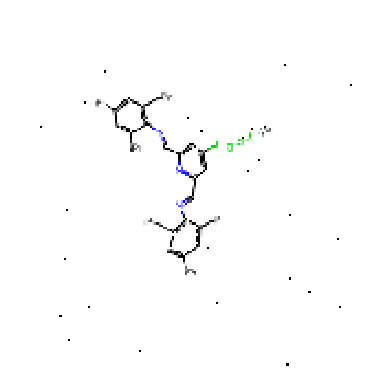 CC(C)c1cc(C(C)C)c(N=Cc2cc(Cl)cc(C=Nc3c(C(C)C)cc(C(C)C)cc3C(C)C)n2)c(C(C)C)c1.[Cl-].[Cl-].[Cl-].[V+3]